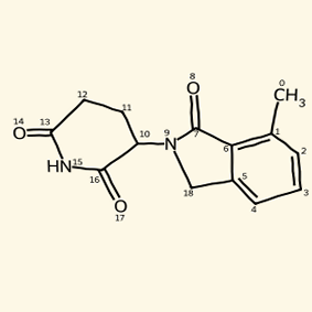 Cc1cccc2c1C(=O)N(C1CCC(=O)NC1=O)C2